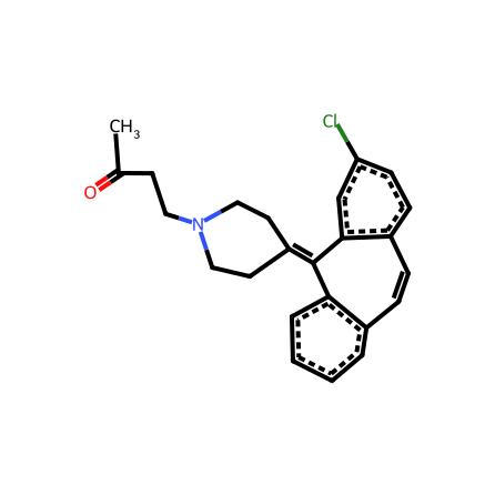 CC(=O)CCN1CCC(=C2c3ccccc3C=Cc3ccc(Cl)cc32)CC1